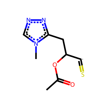 CC(=O)OC([C]=S)Cc1nncn1C